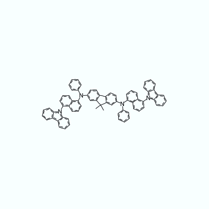 CC1(C)c2cc(N(c3ccccc3)c3cccc4c(-n5c6ccccc6c6ccccc65)cccc34)ccc2-c2ccc(N(c3ccccc3)c3cccc4c(-n5c6ccccc6c6ccccc65)cccc34)cc21